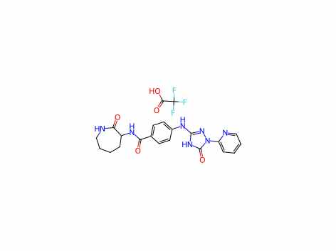 O=C(NC1CCCCNC1=O)c1ccc(Nc2nn(-c3ccccn3)c(=O)[nH]2)cc1.O=C(O)C(F)(F)F